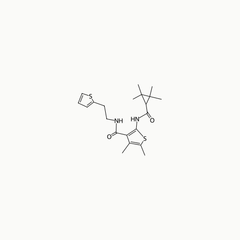 Cc1sc(NC(=O)C2C(C)(C)C2(C)C)c(C(=O)NCCc2cccs2)c1C